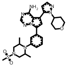 CC1CN(S(C)(=O)=O)CC(C)N1c1cccc(-c2cc(-c3ccnn3C3CCOCC3)c3c(N)ncnn23)c1